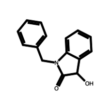 O=C1C(O)c2ccccc2N1Cc1ccccc1